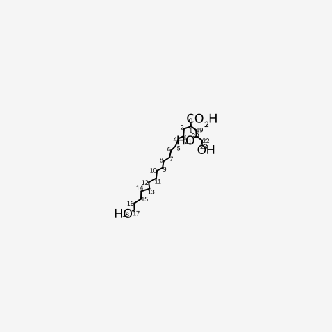 O=C(O)C(CCCCCCCCCCCCCCCCO)CC(O)CO